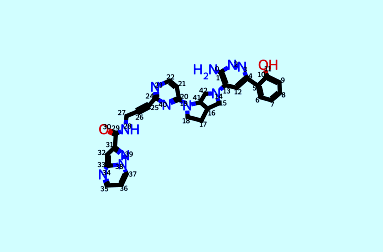 Nc1nnc(-c2ccccc2O)cc1N1CC2CCN(c3ccnc(C#CCNC(=O)c4cc5ncccn5n4)n3)C2C1